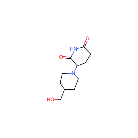 O=C1CCC(N2CCC(CO)CC2)C(=O)N1